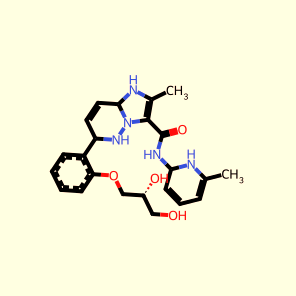 CC1=CC=CC(NC(=O)C2=C(C)NC3C=CC(c4ccccc4OC[C@H](O)CO)NN23)N1